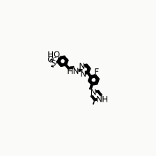 C[C@H]1CN(Cc2ccc(F)c(-c3ccnc(NCCc4ccc(O)c([S+](C)[O-])c4)n3)c2)CCN1